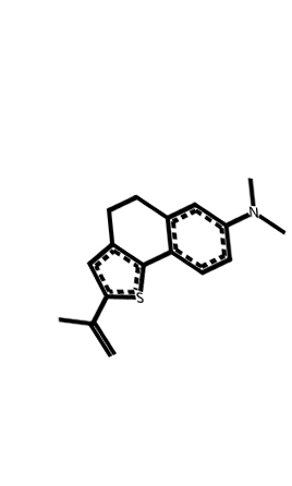 C=C(C)c1cc2c(s1)-c1ccc(N(C)C)cc1CC2